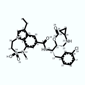 CCc1cn2c3c(cc(C(=O)N[C@@H](Cc4cccc(Cl)c4)[C@@H](CNC4CC4)OC=O)cc13)N(C)S(=O)(=O)CC2